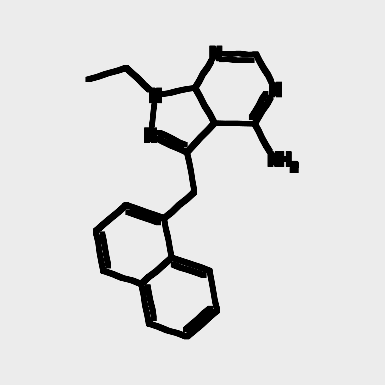 CCN1N=C(Cc2cccc3ccccc23)C2C(N)=NC=NC21